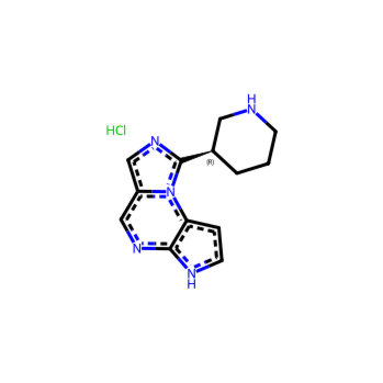 Cl.c1cc2c(ncc3cnc([C@@H]4CCCNC4)n32)[nH]1